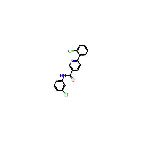 O=C(Nc1cccc(Cl)c1)c1ccc(-c2ccccc2Cl)nc1